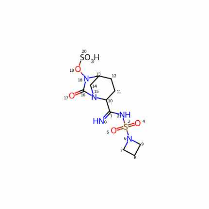 N=C(NS(=O)(=O)N1CCC1)C1CCC2CN1C(=O)N2OS(=O)(=O)O